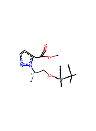 COC(=O)c1ccnn1[C@@H](C)CO[Si](C)(C)C(C)(C)C